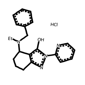 CCN(Cc1ccccc1)C1CCCc2nn(-c3ccccn3)c(O)c21.Cl